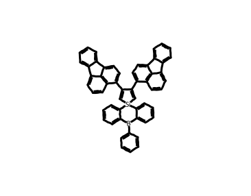 C1=C(c2ccc3c4c(cccc24)-c2ccccc2-3)C(c2ccc3c4c(cccc24)-c2ccccc2-3)=C[Si]12c1ccccc1B(c1ccccc1)c1ccccc12